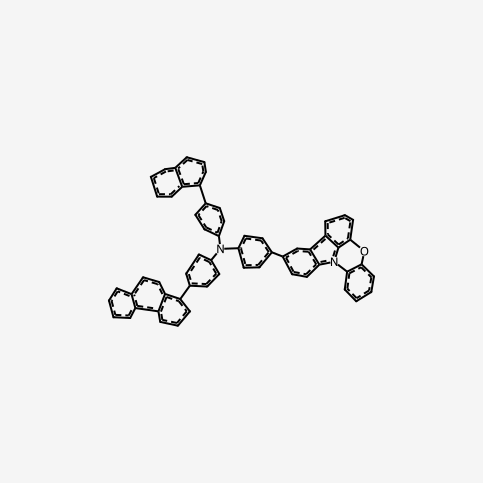 c1ccc2c(c1)Oc1cccc3c4cc(-c5ccc(N(c6ccc(-c7cccc8ccccc78)cc6)c6ccc(-c7cccc8c7ccc7ccccc78)cc6)cc5)ccc4n-2c13